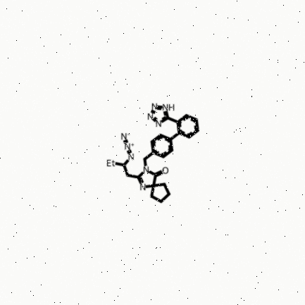 CCC(CC1=NC2(CCCC2)C(=O)N1Cc1ccc(-c2ccccc2-c2nnn[nH]2)cc1)N=[N+]=[N-]